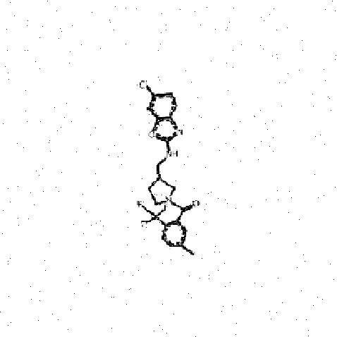 Cc1ccc(C(F)(F)F)c(C(=O)N2CCC(CNc3nc4ccc(Cl)cc4o3)C2)c1